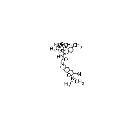 CCN(CC)C(=O)C(C#N)=Cc1ccc2c(c1)CN(CC(=O)N[C@@H](Cc1ccc(C)cc1)B1OC(C)(C)C(C)(C)O1)CC2